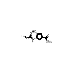 COC(=O)[C@@H]1C[C@@H](O)[C@@H](NC(=O)OC(C)(C)C)C1